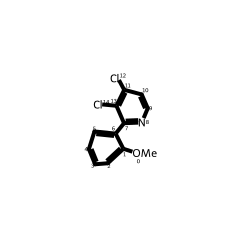 COc1ccccc1-c1nccc(Cl)c1Cl